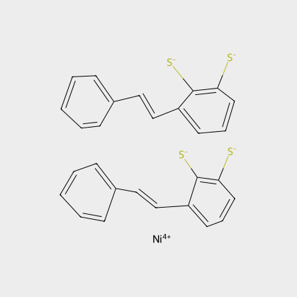 [Ni+4].[S-]c1cccc(C=Cc2ccccc2)c1[S-].[S-]c1cccc(C=Cc2ccccc2)c1[S-]